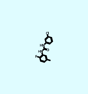 Cc1ccc(F)c(NC(=O)Nc2cccc(Cl)c2)c1